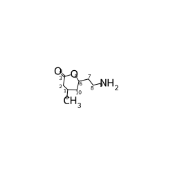 CC1CC(=O)OC(CCN)C1